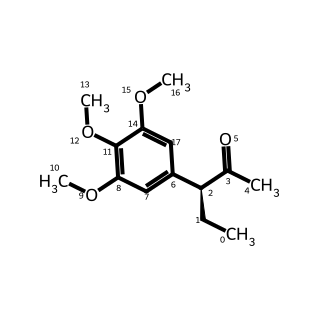 CC[C@H](C(C)=O)c1cc(OC)c(OC)c(OC)c1